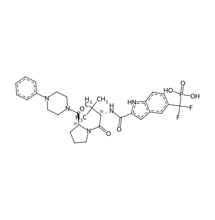 CC(C)(C)[C@H](NC(=O)c1cc2cc(C(F)(F)P(=O)(O)O)ccc2[nH]1)C(=O)N1CCC[C@H]1C(=O)N1CCN(c2ccccc2)CC1